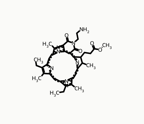 CCC1=C(C)c2cc3[nH]c(cc4nc(c5c6[nH]c(cc1n2)c(C)c6C(=O)N(CCN)C5=O)C(CCC(=O)OC)C4C)c(C)c3CC